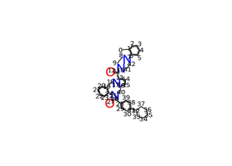 Cc1ccccc1N1CCN(C(=O)c2ccc3n2Cc2ccccc2N(C(=O)c2ccc(C4CCCCC4)cc2)C3)CC1